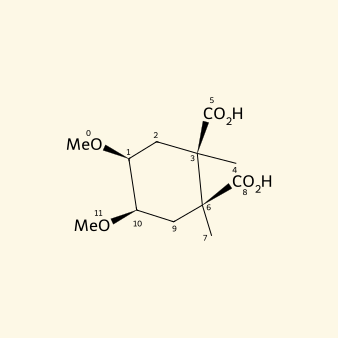 CO[C@H]1C[C@@](C)(C(=O)O)[C@@](C)(C(=O)O)C[C@H]1OC